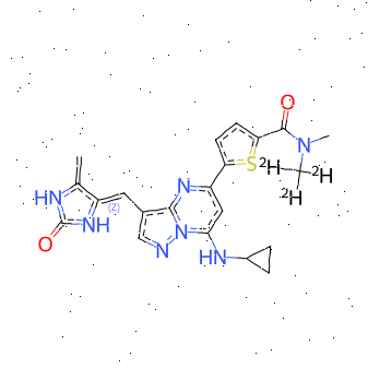 [2H]C([2H])([2H])N(C)C(=O)c1ccc(-c2cc(NC3CC3)n3ncc(/C=c4\[nH]c(=O)[nH]c4=C)c3n2)s1